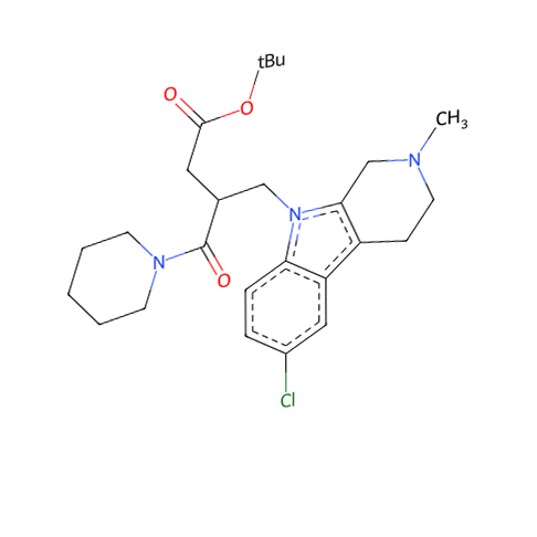 CN1CCc2c(n(CC(CC(=O)OC(C)(C)C)C(=O)N3CCCCC3)c3ccc(Cl)cc23)C1